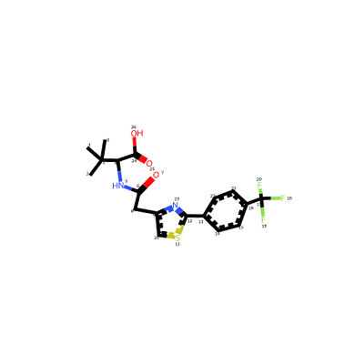 CC(C)(C)C(NC(=O)Cc1csc(-c2ccc(C(F)(F)F)cc2)n1)C(=O)O